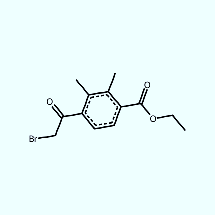 CCOC(=O)c1ccc(C(=O)CBr)c(C)c1C